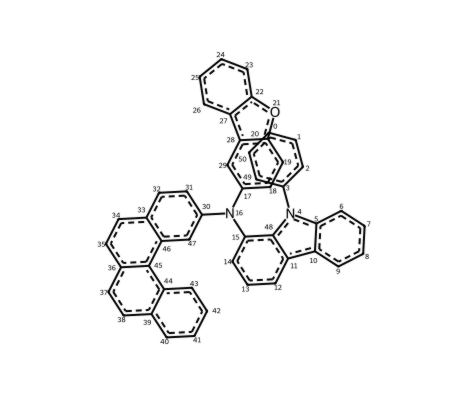 c1ccc(-n2c3ccccc3c3cccc(N(c4ccc5oc6ccccc6c5c4)c4ccc5ccc6ccc7ccccc7c6c5c4)c32)cc1